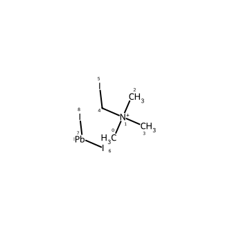 C[N+](C)(C)CI.[I][Pb][I]